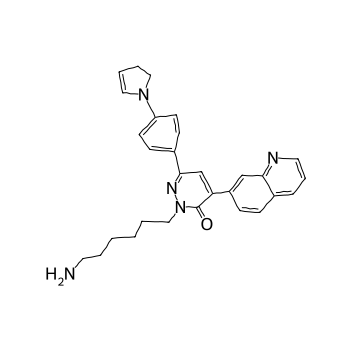 NCCCCCCn1nc(-c2ccc(N3C=CCC3)cc2)cc(-c2ccc3cccnc3c2)c1=O